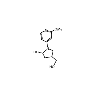 COc1cc(N2CC(CO)CC2O)ccn1